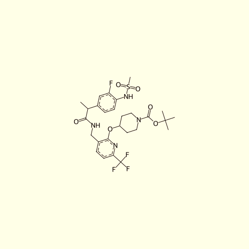 CC(C(=O)NCc1ccc(C(F)(F)F)nc1OC1CCN(C(=O)OC(C)(C)C)CC1)c1ccc(NS(C)(=O)=O)c(F)c1